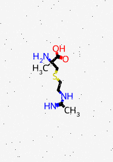 CC(=N)NCCSC[C@@](C)(N)C(=O)O